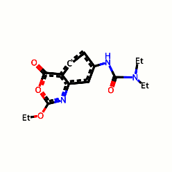 CCOc1nc2cc(NC(=O)N(CC)CC)ccc2c(=O)o1